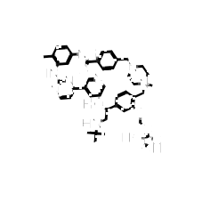 Cc1ccc(NC(=O)c2ccc(CN3CC[N+](C)(Cc4ccc(C(O)CNC(C)(C)C)cc4OCOP(=O)(O)O)CC3)cc2)cc1Nc1nccc(-c2cccnc2)n1